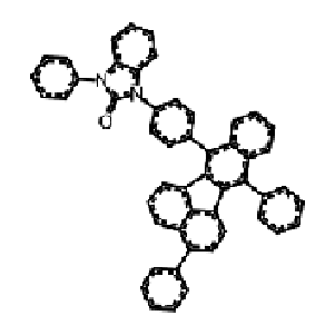 O=c1n(-c2ccccc2)c2ccccc2n1-c1ccc(-c2c3c(c(-c4ccccc4)c4ccccc24)-c2ccc(-c4ccccc4)c4cccc-3c24)cc1